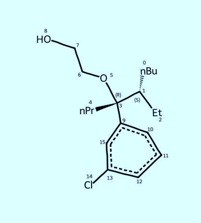 CCCC[C@H](CC)[C@@](CCC)(OCCO)c1cccc(Cl)c1